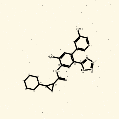 COc1cncc(-c2cc(C)c(NC(=O)C3CC3C3CCCCC3)cc2-c2nnn[nH]2)c1